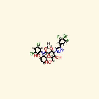 CO[C@@H]1[C@@H](n2cc(-c3cc(F)c(Br)c(F)c3)nn2)[C@@H](O)[C@@H](CO)O[C@H]1C(=O)N(c1cc(Cl)cc(Cl)c1)[C@H]1CCCC[C@@H]1O